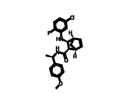 COc1ccc([C@@H](C)NC(=O)[C@H]2[C@@H](Nc3cc(Cl)ccc3F)[C@H]3C=C[C@@H]2C3)cc1